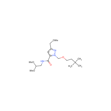 COCc1cc(C(=O)NCC(OC)OC)n(COCC[Si](C)(C)C)n1